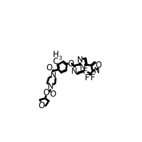 Cc1cc(Oc2nccn3c(-c4conc4C(F)(F)F)cnc23)ccc1C(=O)N1CCN(C(=O)OC2CCOC2)CC1